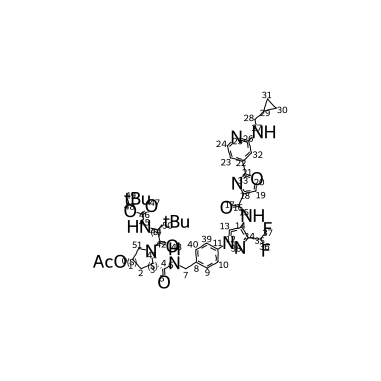 CC(=O)O[C@H]1C[C@@H](C(=O)NCc2ccc(-n3cc(NC(=O)c4coc(-c5ccnc(NCC6CC6)c5)n4)c(C(F)F)n3)cc2)N(C(=O)[C@@H](NC(=O)OC(C)(C)C)C(C)(C)C)C1